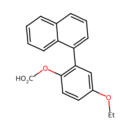 CCOc1ccc(OC(=O)O)c(-c2cccc3ccccc23)c1